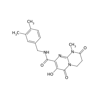 Cc1ccc(CNC(=O)c2nc3n(c(=O)c2O)CCC(=O)N3C)cc1C